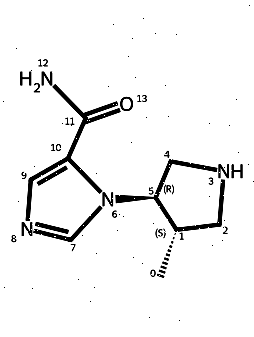 C[C@H]1CNC[C@@H]1n1cncc1C(N)=O